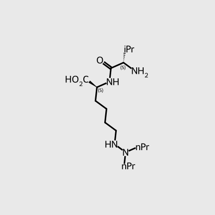 CCCN(CCC)NCCCC[C@H](NC(=O)[C@@H](N)C(C)C)C(=O)O